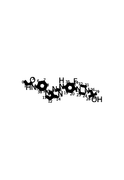 C=CC(=O)Nc1cccc(-n2ccc3cnc(Nc4ccc(N5CCN(CC(C)(C)O)CC5)c(F)c4)nc32)c1